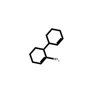 NC1=CCCCC1C1C=CCCC1